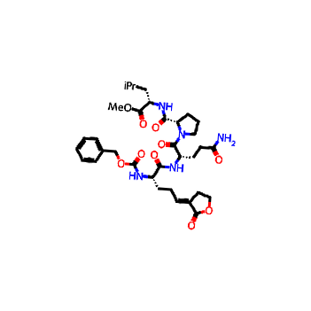 COC(=O)[C@H](CC(C)C)NC(=O)[C@@H]1CCCN1C(=O)[C@H](CCC(N)=O)NC(=O)[C@H](CC/C=C1\CCOC1=O)NC(=O)OCc1ccccc1